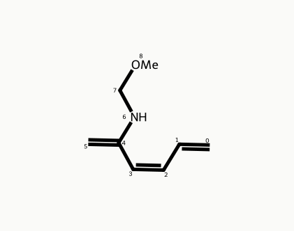 C=C/C=C\C(=C)NCOC